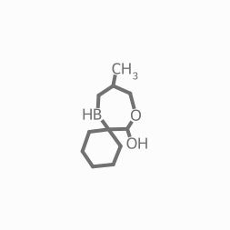 CC1CBC2(CCCCC2)C(O)OC1